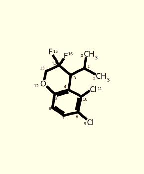 CC(C)C1c2c(ccc(Cl)c2Cl)OCC1(F)F